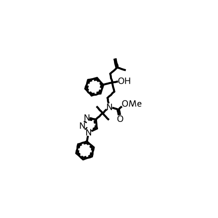 C=C(C)CC(O)(CCN(C(=O)OC)C(C)(C)c1cn(-c2ccccc2)nn1)c1ccccc1